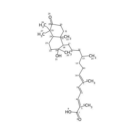 CC(/C=C/C=C(\C)C(=O)O)=C\CCC(C)CCCC1C(C)(O)CCC2C(C)(C)C(=O)CCC12C